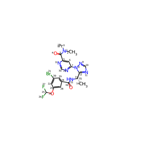 CC(C)N(C)C(=O)c1cc(-n2ncnc2[C@H](C)NC(=O)c2cc(Br)cc(OC(F)F)c2)ncn1